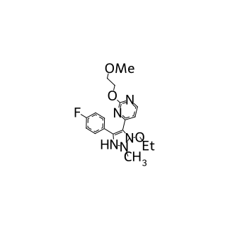 CCON1C(c2ccnc(OCCOC)n2)=C(c2ccc(F)cc2)NN1C